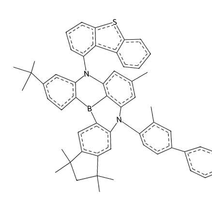 Cc1cc2c3c(c1)N(c1cccc4sc5ccccc5c14)c1cc(C(C)(C)C)ccc1B3c1cc3c(cc1N2c1ccc(-c2ccccc2)cc1C)C(C)(C)CC3(C)C